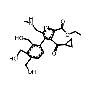 CCOC(=O)c1[nH]c(CNC)c(-c2ccc(CO)c(CO)c2CO)c1C(=O)C1CC1